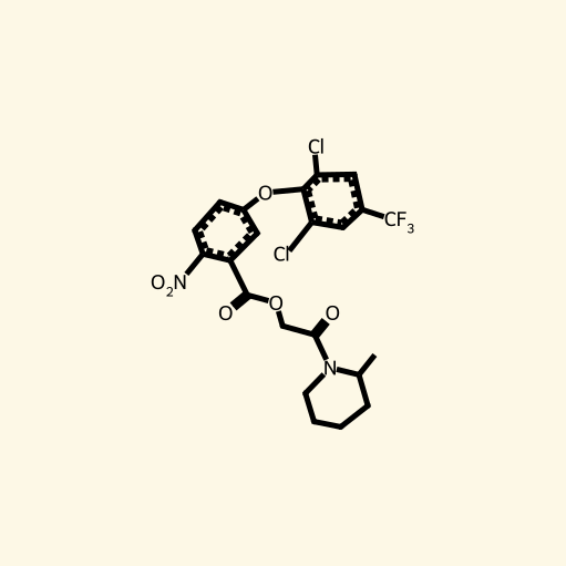 CC1CCCCN1C(=O)COC(=O)c1cc(Oc2c(Cl)cc(C(F)(F)F)cc2Cl)ccc1[N+](=O)[O-]